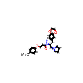 COc1ccc(OCCC(=O)N[C@@H](Cc2ccc3c(c2)OCCO3)CN2CCCC2)cc1